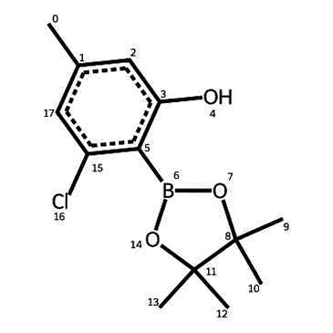 Cc1cc(O)c(B2OC(C)(C)C(C)(C)O2)c(Cl)c1